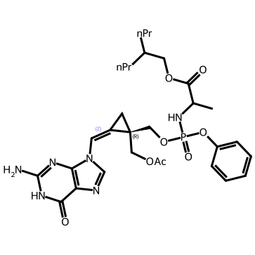 CCCC(CCC)COC(=O)C(C)NP(=O)(OC[C@]1(COC(C)=O)C/C1=C/n1cnc2c(=O)[nH]c(N)nc21)Oc1ccccc1